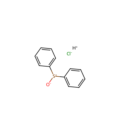 [Cl-].[H+].[O-][S+](c1ccccc1)c1ccccc1